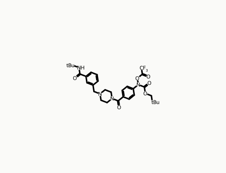 CC(C)(C)COC(=O)N(OC(=O)C(F)(F)F)c1ccc(C(=O)N2CCN(Cc3cccc(C(=O)NC(C)(C)C)c3)CC2)cc1